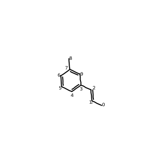 C[C]=Cc1cccc(C)c1